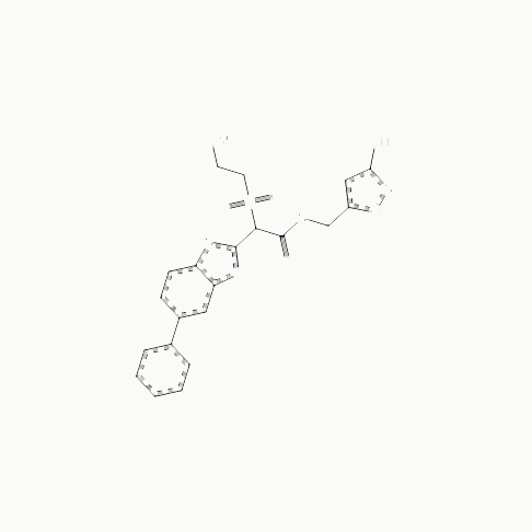 COCCS(=O)(=O)C(C(=O)NCc1cc(C)no1)c1nc2ccc(-c3ccccc3)cc2s1